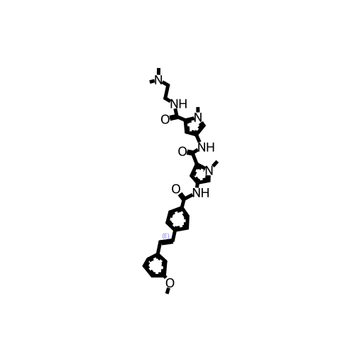 COc1cccc(/C=C/c2ccc(C(=O)Nc3cc(C(=O)Nc4cc(C(=O)NCCN(C)C)n(C)c4)n(C)c3)cc2)c1